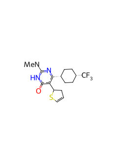 CNc1nc([C@H]2CC[C@@H](C(F)(F)F)CC2)c(C2CC=CS2)c(=O)[nH]1